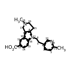 Cc1ccc(CCn2c3c(c4cc(C(=O)O)ccc42)CN(C)CC3)cn1